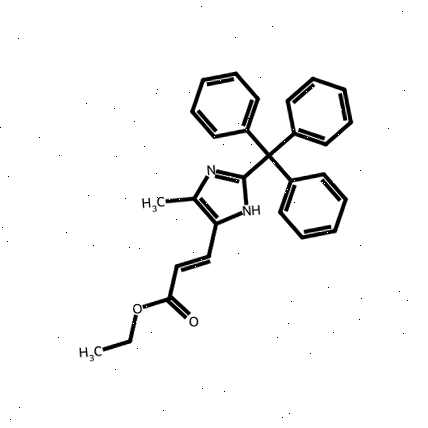 CCOC(=O)C=Cc1[nH]c(C(c2ccccc2)(c2ccccc2)c2ccccc2)nc1C